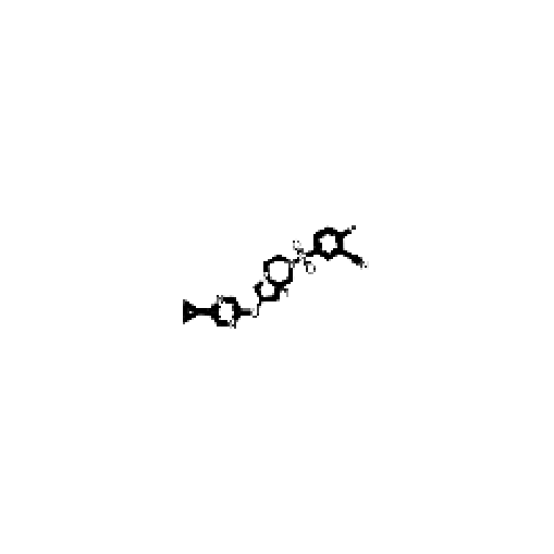 N#Cc1cc(S(=O)(=O)N2CCN3C[C@H](Oc4cnc(C5CC5)cn4)C[C@H]3C2)ccc1F